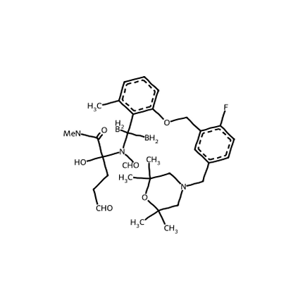 BC(B)(c1c(C)cccc1OCc1cc(CN2CC(C)(C)OC(C)(C)C2)ccc1F)N(C=O)C(O)(CCC=O)C(=O)NC